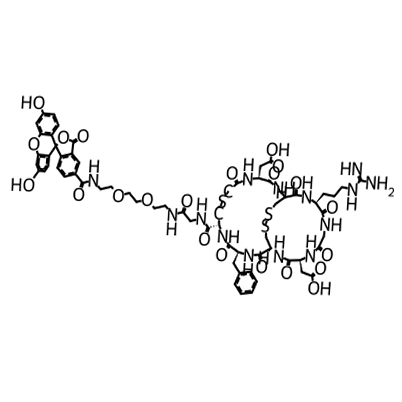 N=C(N)NCCC[C@@H]1NC(=O)[C@@H]2CSSC[C@H](NC(=O)[C@H](CC(=O)O)NC(=O)CNC1=O)C(=O)N[C@@H](Cc1ccccc1)C(=O)N[C@H](C(=O)NCC(=O)NCCOCCOCCNC(=O)c1ccc3c(c1)C(=O)OC31c3ccc(O)cc3Oc3cc(O)ccc31)CSCC(=O)N[C@@H](CC(=O)O)C(=O)N2